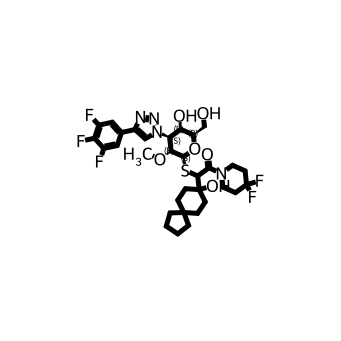 CO[C@@H]1[C@@H](n2cc(-c3cc(F)c(F)c(F)c3)nn2)[C@@H](O)[C@@H](CO)O[C@H]1SC(C(=O)N1CCC(F)(F)CC1)C1(O)CCC2(CCCC2)CC1